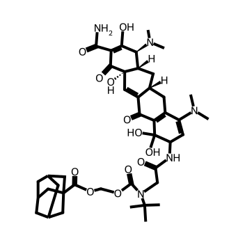 CN(C)C1=CC(NC(=O)CN(C(=O)OCOC(=O)C23CC4CC(CC(C4)C2)C3)C(C)(C)C)C(O)(O)C2=C1C[C@H]1C[C@H]3[C@H](N(C)C)C(O)=C(C(N)=O)C(=O)[C@]3(O)C=C1C2=O